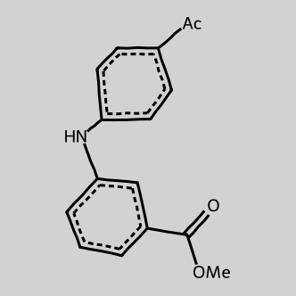 COC(=O)c1cccc(Nc2ccc(C(C)=O)cc2)c1